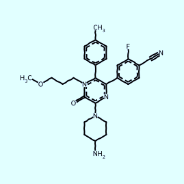 COCCCn1c(-c2ccc(C)cc2)c(-c2ccc(C#N)c(F)c2)nc(N2CCC(N)CC2)c1=O